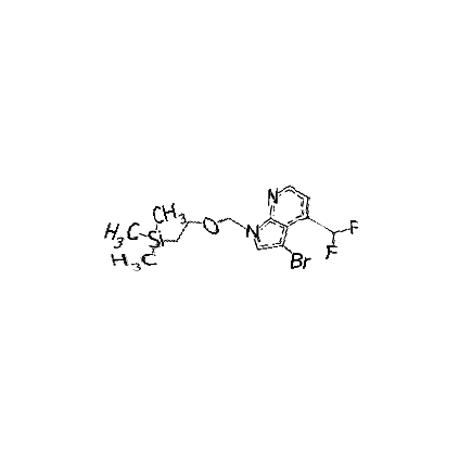 C[Si](C)(C)CCOCn1cc(Br)c2c(C(F)F)ccnc21